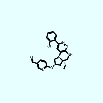 CC[C@@]12CNc3nnc(-c4ccccc4O)cc3N1C[C@H](Oc1ccc(C=O)cn1)C2